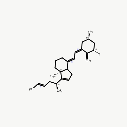 C=C1/C(=C\C=C2/CCC[C@]3(C)C([C@@H](C)C/C=C/O)=CCC23)C[C@@H](O)C[C@@H]1F